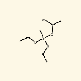 CCO[Si](C)(OCC)OC(C)Cl